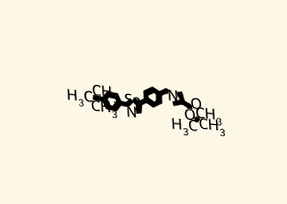 CC(C)(C)OC(=O)C1CN(Cc2ccc(-c3cnc(-c4ccc(C(C)(C)C)cc4)[se]3)cc2)C1